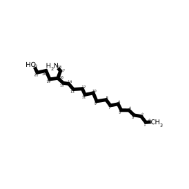 CCCCCCCCCCCCCCCCC(CN)CCCO